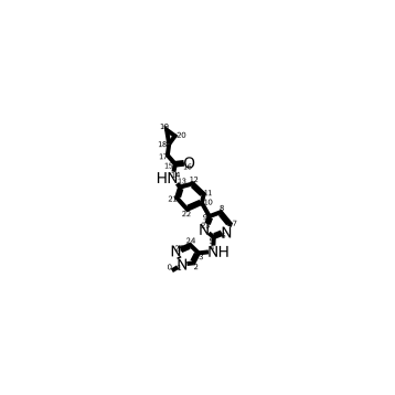 Cn1cc(Nc2nccc(-c3ccc(NC(=O)CC4CC4)cc3)n2)cn1